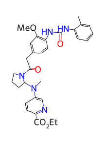 CCOC(=O)c1ccc(N(C)C2CCCN2C(=O)Cc2ccc(NC(=O)Nc3ccccc3C)c(OC)c2)cn1